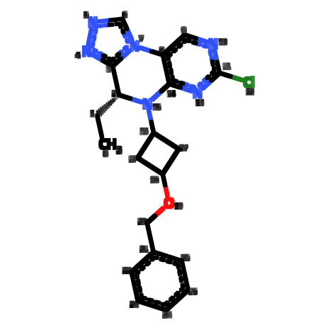 CC[C@@H]1c2nncn2-c2cnc(Cl)nc2N1C1CC(OCc2ccccc2)C1